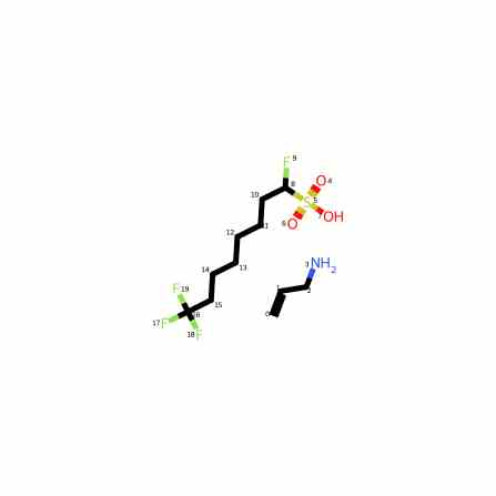 C=CCN.O=S(=O)(O)C(F)CCCCCCC(F)(F)F